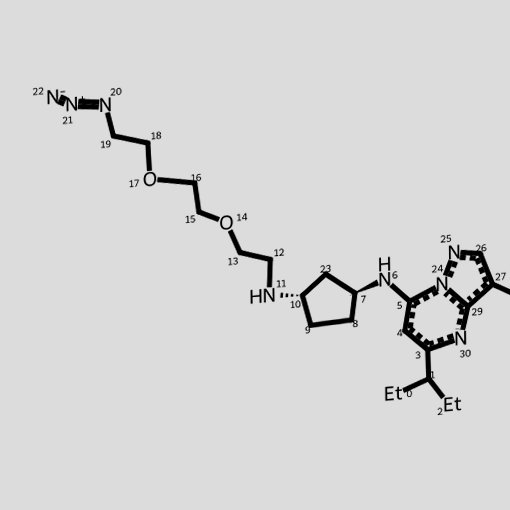 CCC(CC)c1cc(N[C@H]2CC[C@H](NCCOCCOCCN=[N+]=[N-])C2)n2ncc(Cl)c2n1